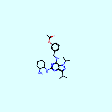 CC(=O)Oc1cccc(CNc2nc(NC3CCCCC3N)nc3c(C(C)C)nn(C(C)C)c23)c1